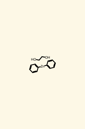 OCCO.c1cc[c]([Zn][c]2ccccc2)cc1